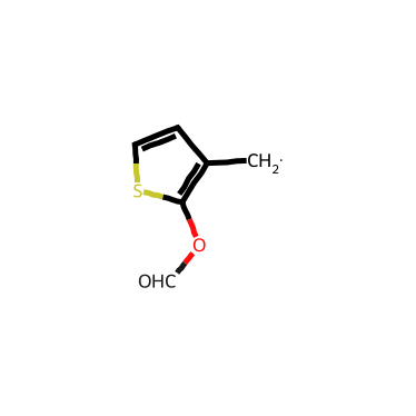 [CH2]c1ccsc1OC=O